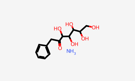 N.O=C(Cc1ccccc1)C(O)C(O)C(O)C(O)CO